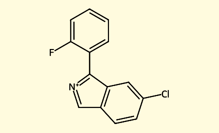 Fc1ccccc1C1=[N+]=Cc2ccc(Cl)cc21